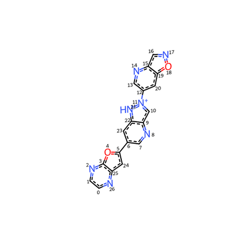 c1cnc2oc(-c3cnc4c[n+](-c5cnc6cnoc6c5)[nH]c4c3)cc2n1